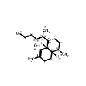 CC1=C[C@H]2[C@@H](CC1)[C@H](C)CC[C@H]2[C@@H](C)[C@H](O)CCBr